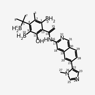 Bc1c(C)c(C(B)(C)C)c(B)c(O)c1C(=C)Nc1cc2cc(-c3cncn3C)ccc2cn1